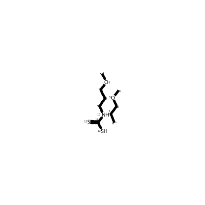 [CH2]CCO[CH2].[CH2]OCCCNC(=S)S